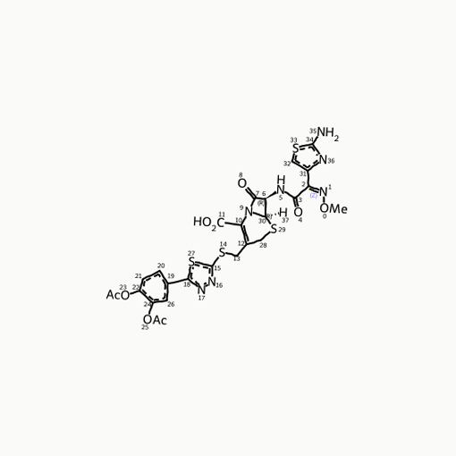 CO/N=C(\C(=O)N[C@@H]1C(=O)N2C(C(=O)O)=C(CSc3nnc(-c4ccc(OC(C)=O)c(OC(C)=O)c4)s3)CS[C@H]12)c1csc(N)n1